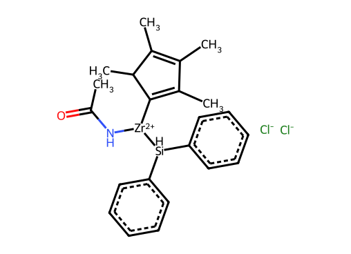 CC(=O)[NH][Zr+2]([C]1=C(C)C(C)=C(C)C1C)[SiH](c1ccccc1)c1ccccc1.[Cl-].[Cl-]